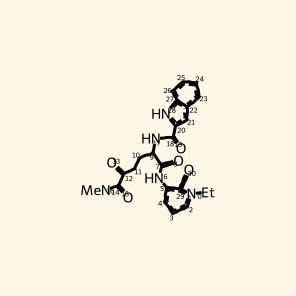 CCn1cccc(NC(=O)C(CCC(=O)C(=O)NC)NC(=O)c2cc3ccccc3[nH]2)c1=O